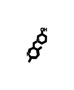 CC1=CC=C(C)C(CN2CCCC(O)C2)C=N1